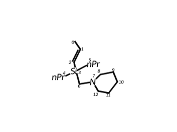 CC=C[Si](CCC)(CCC)CN1CCCCC1